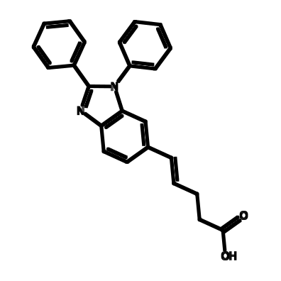 O=C(O)CCC=Cc1ccc2nc(-c3ccccc3)n(-c3ccccc3)c2c1